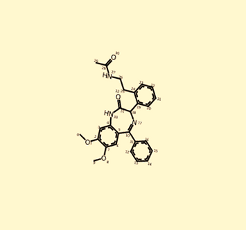 COc1cc2c(cc1OC)C(c1ccccc1)=NC(c1ccccc1CCNC(C)=O)C(=O)N2